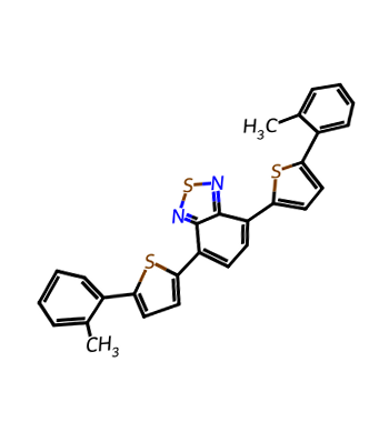 Cc1ccccc1-c1ccc(-c2ccc(-c3ccc(-c4ccccc4C)s3)c3nsnc23)s1